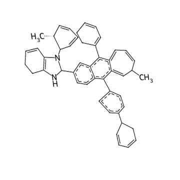 CC1C=CC=c2c(C3=CC=CCC3)c3cc(C4NC5=C(C=CCC5)N4C4C=CC=C[C@H]4C)ccc3c(-c3ccc(C4C=CC=CC4)cc3)c2=C1